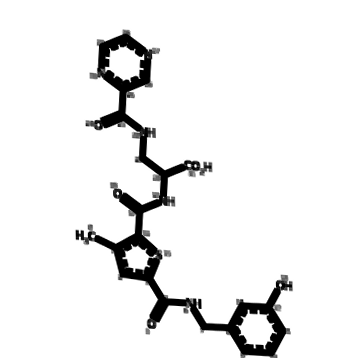 Cc1cc(C(=O)NCc2cccc(O)c2)sc1C(=O)NC(CNC(=O)c1cnccn1)C(=O)O